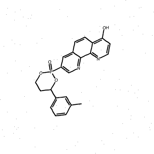 Cc1cccc(C2CCOP(=O)(c3cnc4c(ccc5c(O)ccnc54)c3)O2)c1